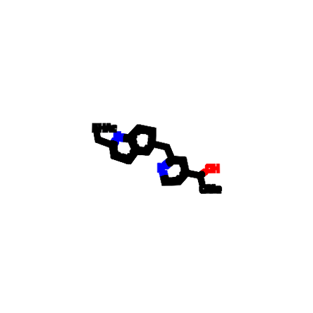 COC(O)c1ccnc(Cc2ccc3nc(CNC(C)=O)ccc3c2)c1